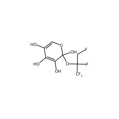 OC1=COC(O)(OC(F)(CF)C(F)(F)F)C(O)=C1O